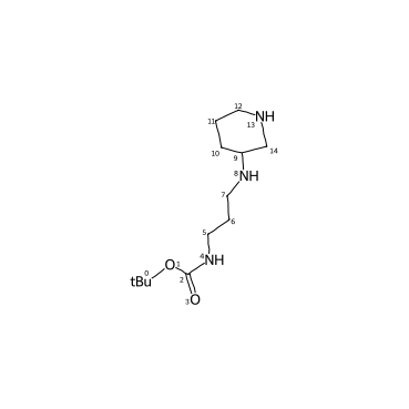 CC(C)(C)OC(=O)NCCCNC1CCCNC1